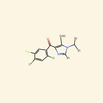 CCc1nc(C(=O)c2cc(F)c(Cl)cc2Cl)c(C=O)n1C(CC)CC